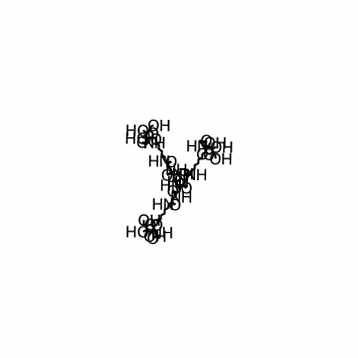 CNC(CC(=O)NC(CC(=O)NCC(=O)NCCCCCCOC1OC(CO)C(O)C(O)C1NC(C)=O)C(=O)NCC(=O)NCCCCCCOC1OC(CO)C(O)C(O)C1NC(C)=O)C(=O)NCC(=O)NCCCCCCOC1OC(CO)C(O)C(O)C1NC(C)=O